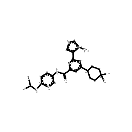 Cn1cncc1-c1nc(C(=O)Nc2ccc(OC(F)F)nc2)cc(C2CCC(F)(F)CC2)n1